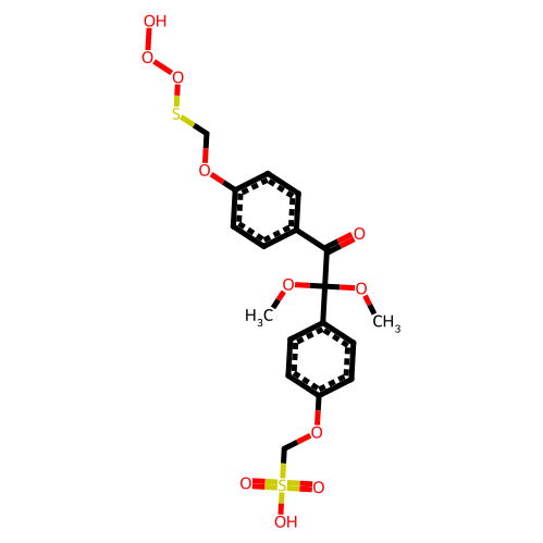 COC(OC)(C(=O)c1ccc(OCSOOO)cc1)c1ccc(OCS(=O)(=O)O)cc1